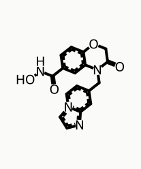 O=C(NO)c1ccc2c(c1)N(Cc1ccn3ccnc3c1)C(=O)CO2